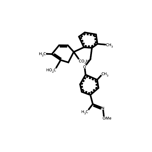 CON=C(C)c1ccc(OCc2c(C)cccc2C2(C(=O)O)C=CC(C)=C(C(=O)O)C2)c(C)c1